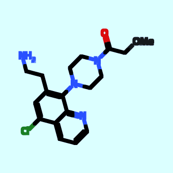 COCC(=O)N1CCN(c2c(CCN)cc(Cl)c3cccnc23)CC1